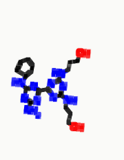 Nc1nc(Nc2ccccc2)nc(-c2nc(NCCCO)nc(NCCCO)n2)n1